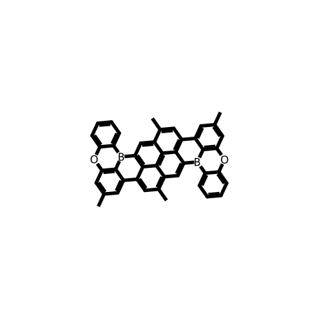 Cc1cc2c3c(c1)-c1cc(C)c4cc5c6c(cc(C)c7cc(c1c4c76)B3c1ccccc1O2)-c1cc(C)cc2c1B5c1ccccc1O2